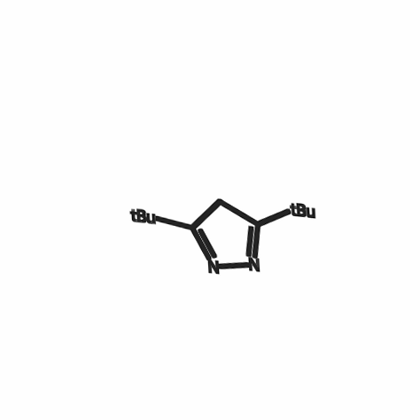 CC(C)(C)C1=NN=C(C(C)(C)C)C1